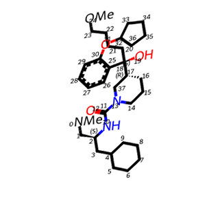 CNC[C@H](CC1CCCCC1)NC(=O)N1CCC[C@@H]([C@@](O)(CCCCOC)c2ccccc2OC2CCCC2)C1